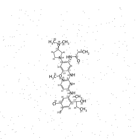 C=CC(=O)Nc1cc(Nc2nccc(Nc3cc(Cl)c(F)cc3[C@@](C)(O)CC)n2)c(OC)cc1N1CC[C@@H](N(C)C)C1